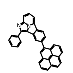 c1ccc(-c2nc3cccc4c5ccc(-c6cc7cccc8ccc9cccc6c9c87)cc5c2n34)cc1